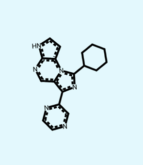 c1cnc(-c2nc(C3CCCCC3)n3c2cnc2[nH]ccc23)cn1